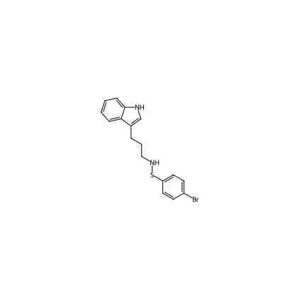 Brc1ccc(SNCCCc2c[nH]c3ccccc23)cc1